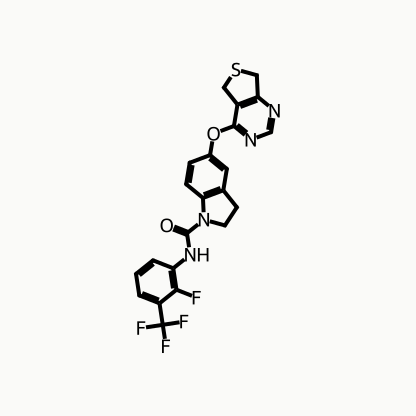 O=C(Nc1cccc(C(F)(F)F)c1F)N1CCc2cc(Oc3ncnc4c3CSC4)ccc21